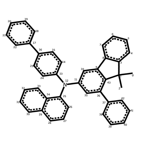 CC1(C)c2ccccc2-c2cc(N(c3ccc(-c4ccccc4)cc3)c3cccc4ccccc34)cc(-c3ccccc3)c21